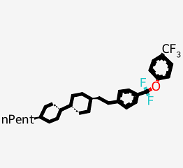 CCCCC[C@H]1CC[C@H]([C@H]2CC[C@H](CCc3ccc(C(F)(F)Oc4ccc(C(F)(F)F)cc4)cc3)CC2)CC1